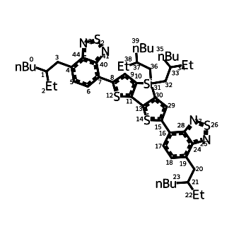 CCCCC(CC)Cc1ccc(-c2cc3c(s2)-c2sc(-c4ccc(CC(CC)CCCC)c5nsnc45)cc2[Si]3(CC(CC)CCCC)CC(CC)CCCC)c2nsnc12